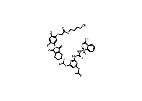 CCCCCOC(=O)COc1cc(N2C(=O)C3=C(CCCC3)C2=O)c(F)cc1Cl.O=C(Nc1nc(OC(F)F)cc(OC(F)F)n1)NS(=O)(=O)c1ccccc1C(=O)O